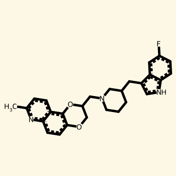 Cc1ccc2c3c(ccc2n1)OCC(CN1CCCC(Cc2c[nH]c4ccc(F)cc24)C1)O3